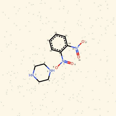 C1CNCCN1.O=[N+]([O-])c1ccccc1[N+](=O)[O-]